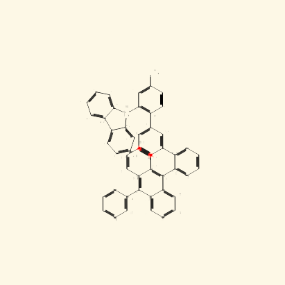 N#Cc1ccc(-c2cccc(-c3ccccc3-c3c4ccccc4c(-c4ccccc4)c4ccccc34)c2)c(-n2c3ccccc3c3ccccc32)c1